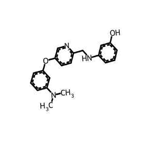 CN(C)c1cccc(Oc2ccc(CNc3cccc(O)c3)nc2)c1